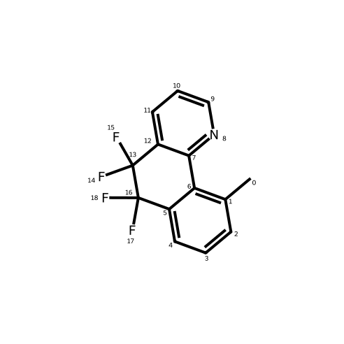 Cc1cccc2c1-c1ncccc1C(F)(F)C2(F)F